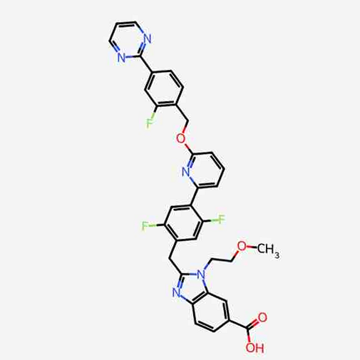 COCCn1c(Cc2cc(F)c(-c3cccc(OCc4ccc(-c5ncccn5)cc4F)n3)cc2F)nc2ccc(C(=O)O)cc21